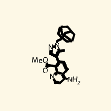 COC(=O)c1c(-c2cnn(CC34CC5CC(CC(C5)C3)C4)c2C)ccc2c(N)ccnc12